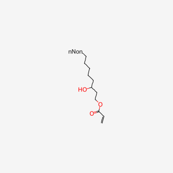 C=CC(=O)OCCC(O)CCCCCCCCCCCCCC